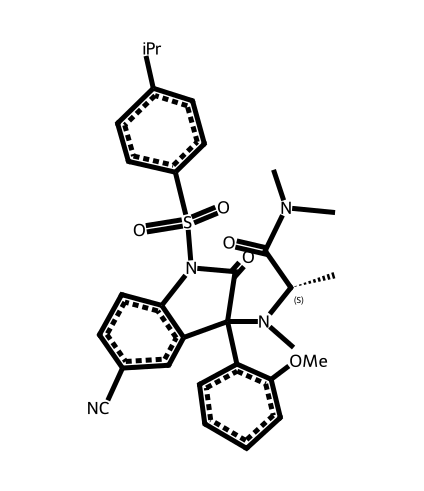 COc1ccccc1C1(N(C)[C@@H](C)C(=O)N(C)C)C(=O)N(S(=O)(=O)c2ccc(C(C)C)cc2)c2ccc(C#N)cc21